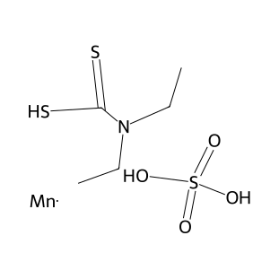 CCN(CC)C(=S)S.O=S(=O)(O)O.[Mn]